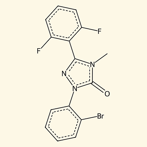 Cn1c(-c2c(F)cccc2F)nn(-c2ccccc2Br)c1=O